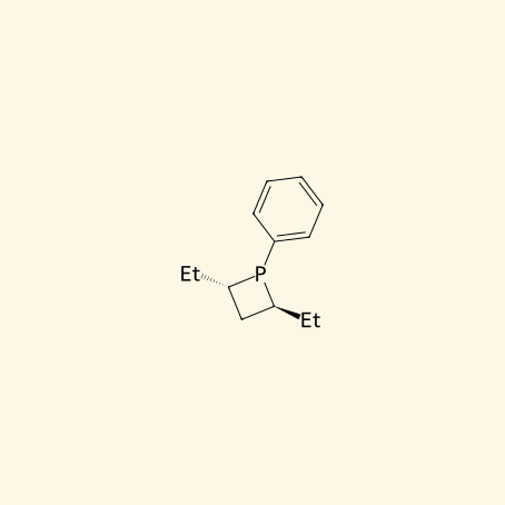 CC[C@H]1C[C@H](CC)P1c1ccccc1